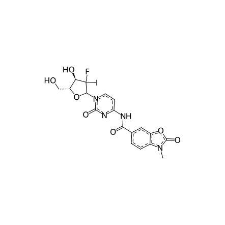 Cn1c(=O)oc2cc(C(=O)Nc3ccn(C4O[C@H](CO)[C@@H](O)C4(F)I)c(=O)n3)ccc21